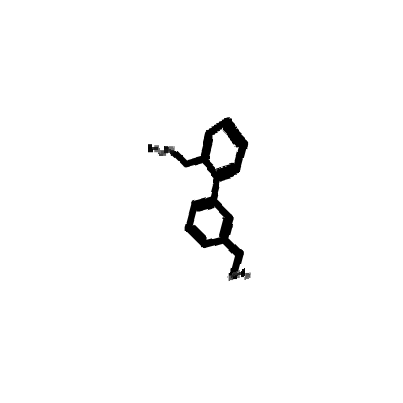 NCc1cccc(-c2ccccc2CN)c1